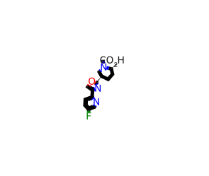 C[C@@H]1CC[C@H](c2nc(-c3ccc(F)cn3)co2)CN1C(=O)O